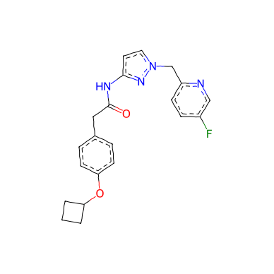 O=C(Cc1ccc(OC2CCC2)cc1)Nc1ccn(Cc2ccc(F)cn2)n1